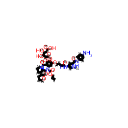 C=CCOC(=O)N1c2cc(OCCCC(=O)Nc3cc(C(=O)Nc4ccc(N)cc4)n(C)c3)c(O[C@@H]3O[C@H](C(=O)O)[C@@H](O)[C@H](O)[C@H]3O)cc2C(=O)N2CCCC[C@H]2C1OC1CCCCO1